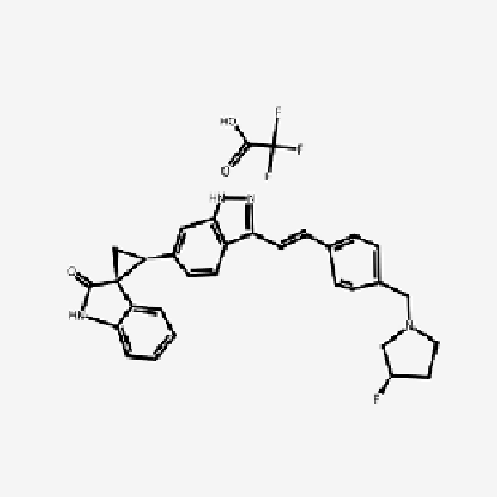 O=C(O)C(F)(F)F.O=C1Nc2ccccc2[C@]12C[C@H]2c1ccc2c(/C=C/c3ccc(CN4CC[C@@H](F)C4)cc3)n[nH]c2c1